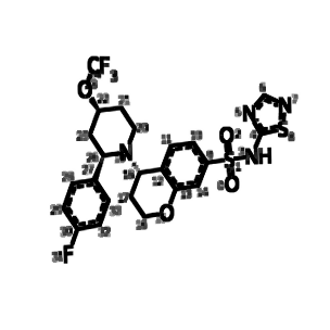 O=S(=O)(Nc1ncns1)c1ccc2c(c1)OCC[C@@H]2N1CC[C@H](OC(F)(F)F)C[C@@H]1c1ccc(F)cc1